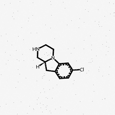 Clc1ccc2c(c1)N1CCNC[C@H]1C2